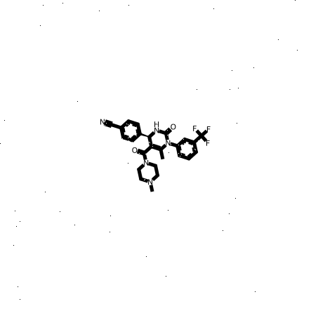 CC1=C(C(=O)N2CCN(C)CC2)[C@@H](c2ccc(C#N)cc2)NC(=O)N1c1cccc(C(F)(F)F)c1